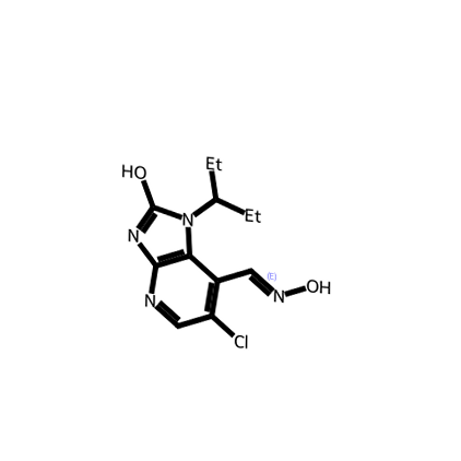 CCC(CC)n1c(O)nc2ncc(Cl)c(/C=N/O)c21